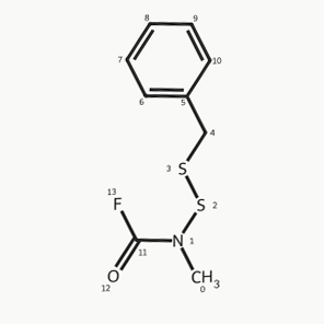 CN(SSCc1ccccc1)C(=O)F